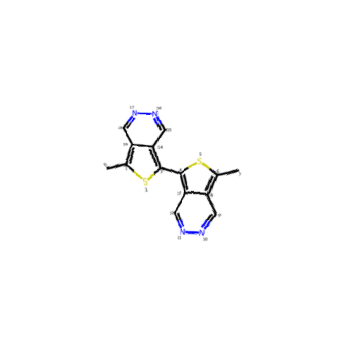 Cc1sc(-c2sc(C)c3cnncc23)c2cnncc12